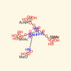 COCC1OC(C(=O)NCCCCCCCCCC(=O)NC(CCC(=O)NC(CCC(=O)NCCOCCOC2OC(CO)C(O)C(O)C2NC(C)=O)C(=O)NCCOCCOC2OC(CO)C(O)C(O)C2NC(C)=O)C(=O)NCCOCCOC2OC(CO)C(O)C(O)C2NC(C)=O)CC1O